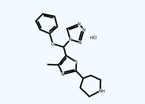 Cc1nc(C2CCNCC2)sc1C(Oc1ccccc1)n1cnnn1.Cl